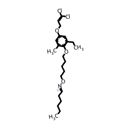 CCCCC/C=N/OCCCCCOc1c(C)cc(OCC=C(Cl)Cl)cc1CC